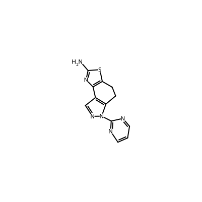 Nc1nc2c(s1)CCc1c-2cnn1-c1ncccn1